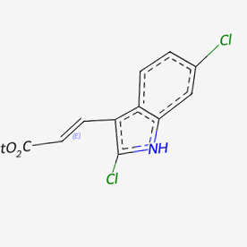 CCOC(=O)/C=C/c1c(Cl)[nH]c2cc(Cl)ccc12